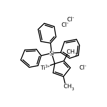 CC1=C[C]([Ti+3])([Si](c2ccccc2)(c2ccccc2)c2ccccc2)C(C)=C1.[Cl-].[Cl-].[Cl-]